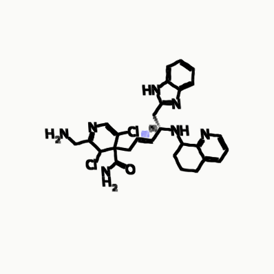 NCC1=NC=C(Cl)C(C/C=C/[C@H](Cc2nc3ccccc3[nH]2)NC2CCCc3cccnc32)(C(N)=O)C1Cl